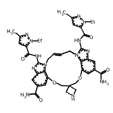 CCn1nc(C)cc1C(=O)Nc1nc2cc(C(N)=O)cc3c2n1C/C=C/Cn1c(NC(=O)c2cc(C)nn2CC)nc2cc(C(N)=O)cc(c21)OCC1(CNC1)CO3